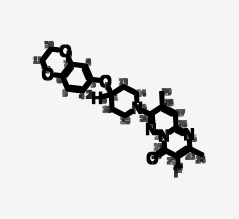 [2H]C1(Oc2ccc3c(c2)OCCO3)CCN(c2nn3c(=O)c(F)c(C)nc3cc2C)CC1